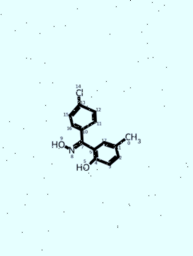 Cc1ccc(O)c(C(=NO)c2ccc(Cl)cc2)c1